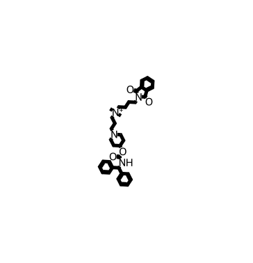 C[N+](C)(CCCCN1C(=O)c2ccccc2C1=O)CCCN1CCC(OC(=O)NC(c2ccccc2)c2ccccc2)CC1